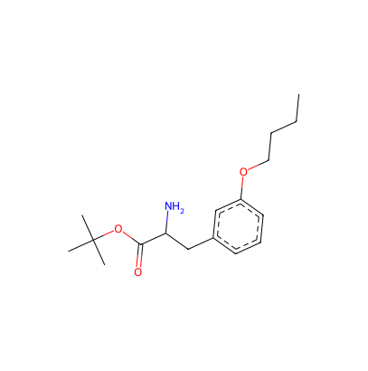 CCCCOc1cccc(CC(N)C(=O)OC(C)(C)C)c1